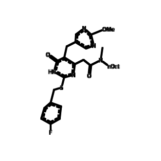 CCCCCCCCN(C)C(=O)Cc1nc(SCc2ccc(F)cc2)[nH]c(=O)c1Cc1cnc(OC)nc1